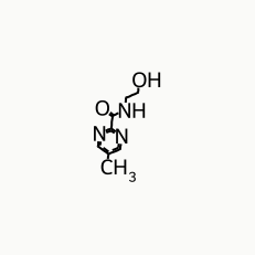 Cc1cnc(C(=O)NCCO)nc1